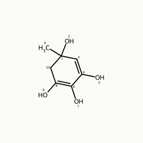 CC1(O)C=C(O)C(O)=C(O)C1